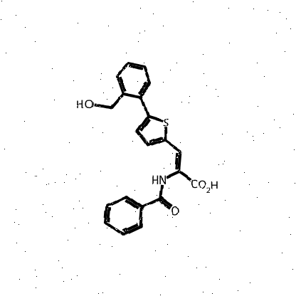 O=C(O)C(=Cc1ccc(-c2ccccc2CO)s1)NC(=O)c1ccccc1